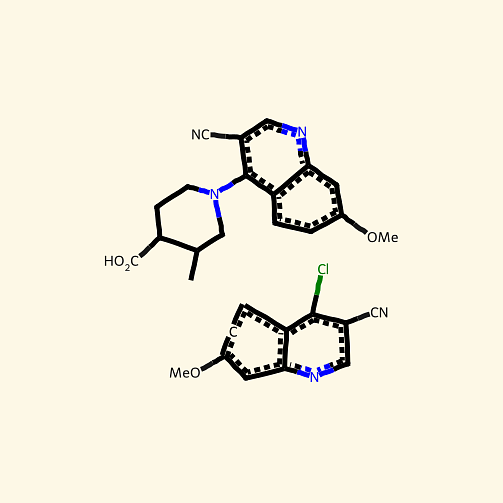 COc1ccc2c(Cl)c(C#N)cnc2c1.COc1ccc2c(N3CCC(C(=O)O)C(C)C3)c(C#N)cnc2c1